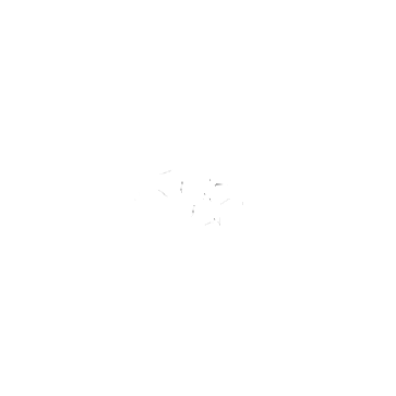 O=Cc1cnn2c(-c3cccc(C(F)(F)F)c3)ccnc12